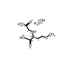 CSCC[C@H](NCC(C)=O)C(=O)O.Cl.S